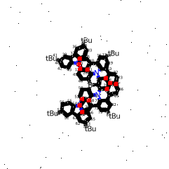 CC(C)c1cc2c3c(c1)N(c1c(-c4ccccc4)cc(C(C)(C)C)cc1-c1ccccc1)c1cc(-n4c5ccc(C(C)(C)C)cc5c5cc(C(C)(C)C)ccc54)ccc1B3c1ccc(-n3c4ccc(C(C)(C)C)cc4c4cc(C(C)(C)C)ccc43)cc1N2c1c(-c2ccccc2)cc(C(C)(C)C)cc1-c1ccccc1